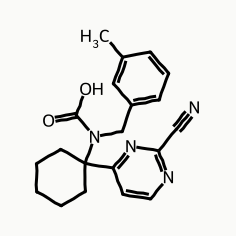 Cc1cccc(CN(C(=O)O)C2(c3ccnc(C#N)n3)CCCCC2)c1